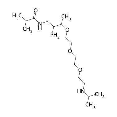 CC(C)NCCOCCOCCOC(C)C(P)CNC(=O)C(C)C